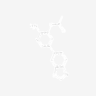 CC(=O)Oc1cc(-c2ccc3ncsc3c2)cnc1N